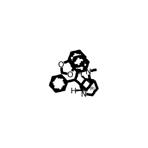 CN(c1cccc2c1OCO2)[C@@H]1C2CCN(CC2)[C@@H]1C(c1ccccc1)c1ccccc1